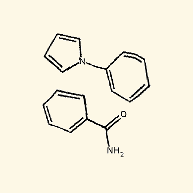 NC(=O)c1ccccc1.c1ccc(-n2cccc2)cc1